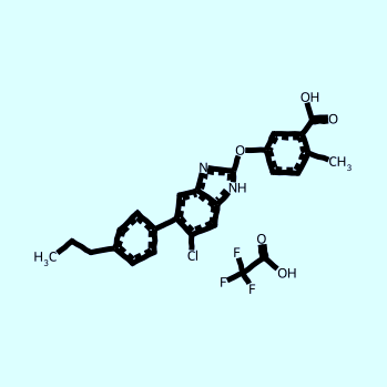 CCCc1ccc(-c2cc3nc(Oc4ccc(C)c(C(=O)O)c4)[nH]c3cc2Cl)cc1.O=C(O)C(F)(F)F